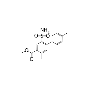 COC(=O)c1cc(S(N)(=O)=O)c(-c2ccc(C)cc2)cc1C